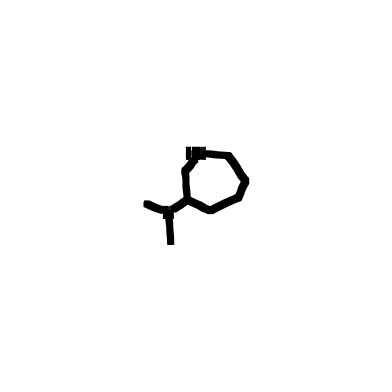 CN(C)C1CCCCNC1